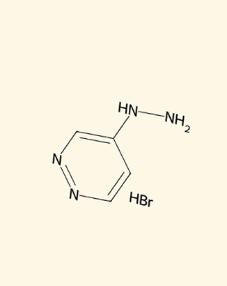 Br.NNc1ccnnc1